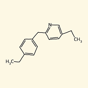 CCc1ccc(Cc2ccc(CC)cn2)cc1